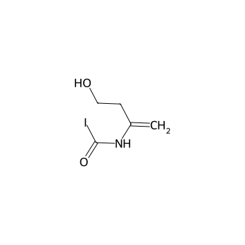 C=C(CCO)NC(=O)I